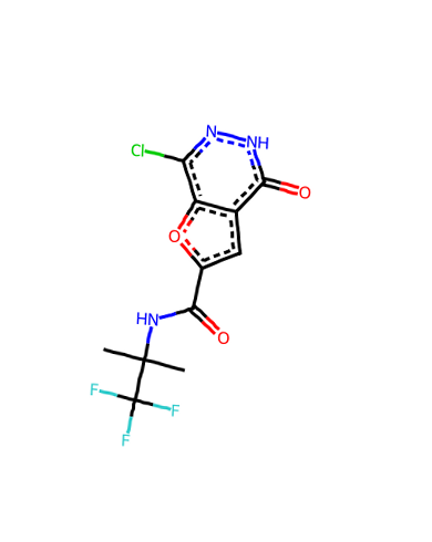 CC(C)(NC(=O)c1cc2c(=O)[nH]nc(Cl)c2o1)C(F)(F)F